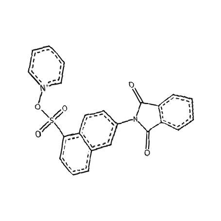 O=C1c2ccccc2C(=O)N1c1ccc2c(S(=O)(=O)O[n+]3ccccc3)cccc2c1